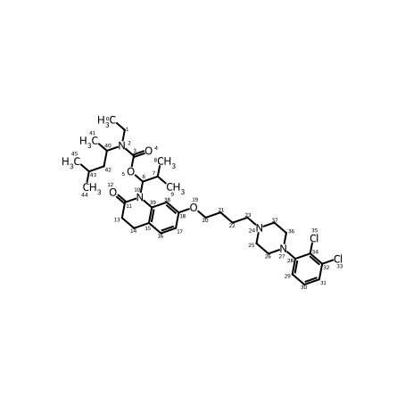 CCN(C(=O)OC(C(C)C)N1C(=O)CCc2ccc(OCCCCN3CCN(c4cccc(Cl)c4Cl)CC3)cc21)C(C)CC(C)C